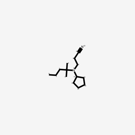 CCCC(C)(C)N(CCC#N)C1CCCC1